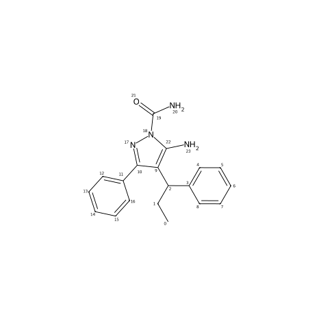 CCC(c1ccccc1)c1c(-c2ccccc2)nn(C(N)=O)c1N